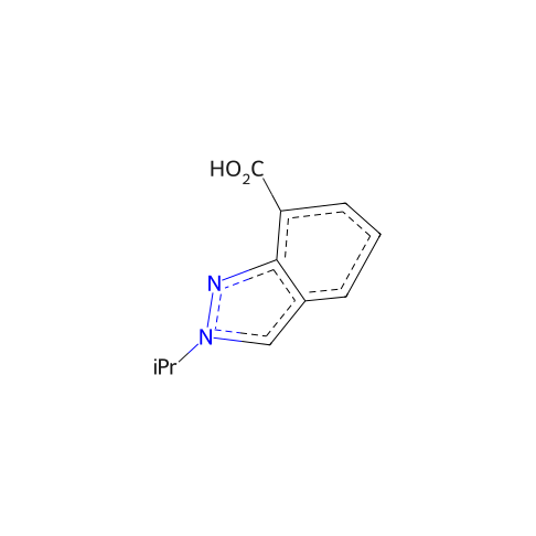 CC(C)n1cc2cccc(C(=O)O)c2n1